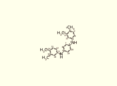 Cc1ccc(Nc2ccc(Nc3ccc(C)c(C)c3)cc2)cc1C